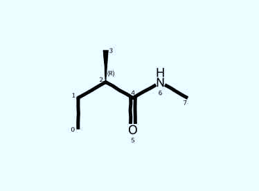 CC[C@@H](C)C(=O)NC